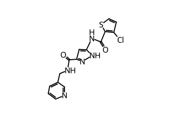 O=C(NCc1cccnc1)c1cc(NC(=O)c2sccc2Cl)[nH]n1